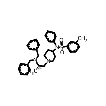 Cc1cccc(S(=O)(=O)N(c2ccccc2)C2CCN(C[C@H](C)N(Cc3ccccc3)Cc3ccccc3)CC2)c1